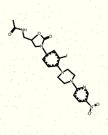 CC(=O)NCC1CN(c2ccc(N3CCN(c4ccc([N+](=O)[O-])cn4)CC3)c(F)c2)C(=O)O1